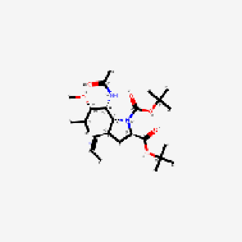 C/C=C\[C@@H]1C[C@H](C(=O)OC(C)(C)C)N(C(=O)OC(C)(C)C)[C@H]1[C@@H](NC(C)=O)[C@@H](OC)C(C)C